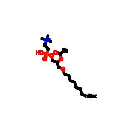 CCCCCCCCCCCCCCCCCOCC(COP(=O)(O)CC[N+](C)(C)C)OC(=O)CC